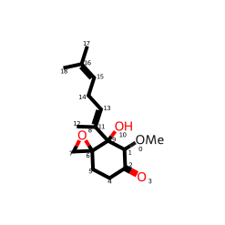 COC1C(=O)CCC2(CO2)C1(O)/C(C)=C/CC=C(C)C